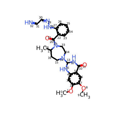 COc1cc2c(cc1OC)C(=O)NC(N1CCC(C)N(C(=O)c3ccccc3N/N=C\C=N)CC1)N2